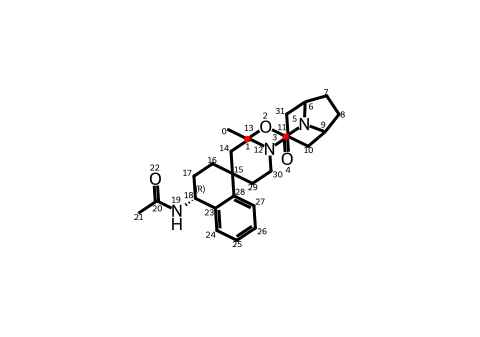 CCOC(=O)N1C2CCC1CC(N1CCC3(CC[C@@H](NC(C)=O)c4ccccc43)CC1)C2